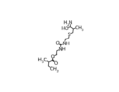 CCC(C)C(=O)OCCNC(=O)NCCSCC(C)C(N)O